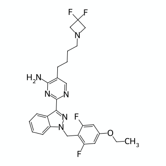 CCOc1cc(F)c(Cn2nc(-c3ncc(CCCCN4CC(F)(F)C4)c(N)n3)c3ccccc32)c(F)c1